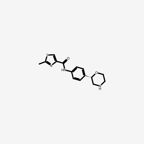 Cc1nc(C(=O)Nc2ccc([C@H]3CNCCO3)cc2)cs1